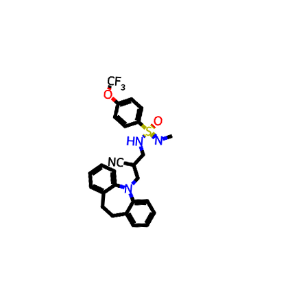 CN=S(=O)(NCC(C#N)CN1c2ccccc2CCc2ccccc21)c1ccc(OC(F)(F)F)cc1